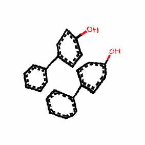 Oc1ccc(-c2ccccc2)cc1.Oc1ccc(-c2ccccc2)cc1